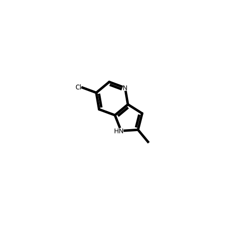 Cc1cc2ncc(Cl)cc2[nH]1